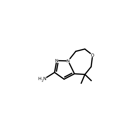 CC1(C)COCCn2nc(N)cc21